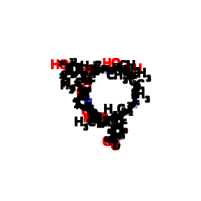 C\C1=C/C=C/C=C/[C@@H](C)C[C@@H](C)[C@H](O)[C@H](C)[C@H](O)/C(C)=C/[C@@H](C)C(O)C[C@@H]([C@H](C)C[C@@H]2CC[C@@H](O)[C@H](C)C2)OC(=O)[C@@H]2CCCCN2C(=O)C(=O)[C@]2(O)OC(CC[C@H]2C)C[C@@H]1Cc1ccc([N+](=O)[O-])cc1